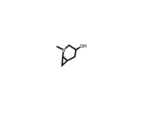 CN1CC(O)CC2CC21